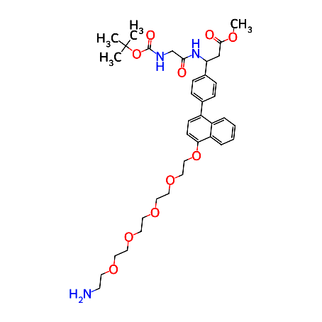 COC(=O)CC(NC(=O)CNC(=O)OC(C)(C)C)c1ccc(-c2ccc(OCCOCCOCCOCCOCCN)c3ccccc23)cc1